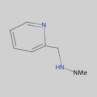 CNNCc1ccccn1